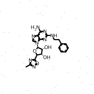 Cc1noc(C2O[C@@H](n3cnc4c(N)nc(NCCc5ccccc5)nc43)[C@H](O)[C@@H]2O)n1